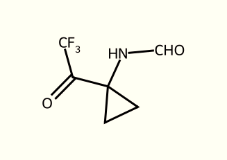 O=CNC1(C(=O)C(F)(F)F)CC1